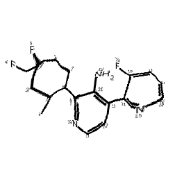 CC1CC(F)(F)CCC1c1nccc(-c2ncccc2F)c1N